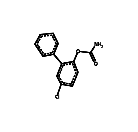 NC(=O)Oc1ccc(Cl)cc1-c1ccccc1